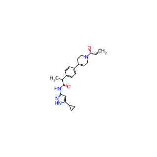 C=CC(=O)N1CC=C(c2ccc(C(C)C(=O)Nc3cc(C4CC4)[nH]n3)cc2)CC1